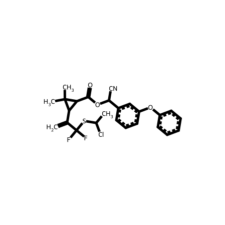 C=C(C1C(C(=O)OC(C#N)c2cccc(Oc3ccccc3)c2)C1(C)C)C(F)(F)SC(C)Cl